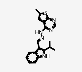 Cc1cc2c(NN=Cc3c(C(C)C)[nH]c4ccccc34)ncnc2s1